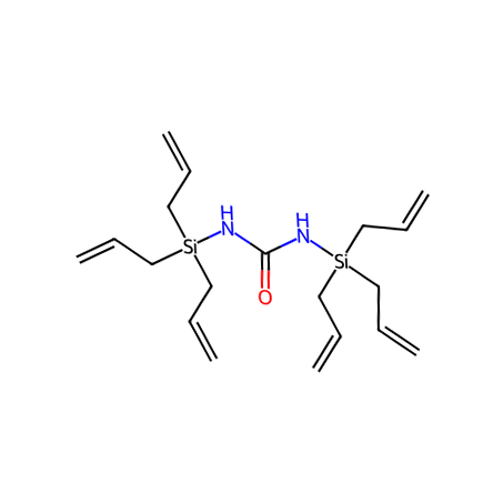 C=CC[Si](CC=C)(CC=C)NC(=O)N[Si](CC=C)(CC=C)CC=C